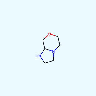 C1CN2CCOCC2N1